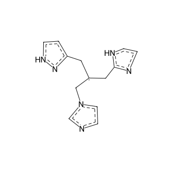 c1cn(C[C](Cc2cc[nH]n2)Cc2ncc[nH]2)cn1